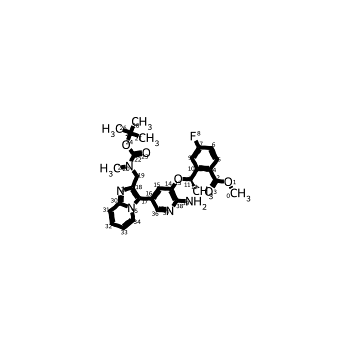 COC(=O)c1ccc(F)cc1[C@@H](C)Oc1cc(-c2c(CN(C)C(=O)OC(C)(C)C)nc3ccccn23)cnc1N